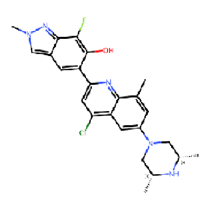 Cc1cc(N2C[C@@H](C)N[C@@H](C)C2)cc2c(Cl)cc(-c3cc4cn(C)nc4c(F)c3O)nc12